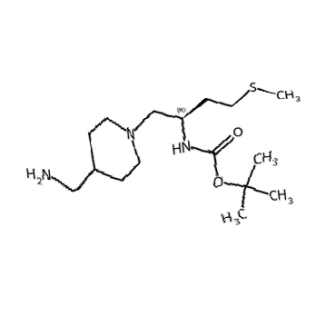 CSCC[C@H](CN1CCC(CN)CC1)NC(=O)OC(C)(C)C